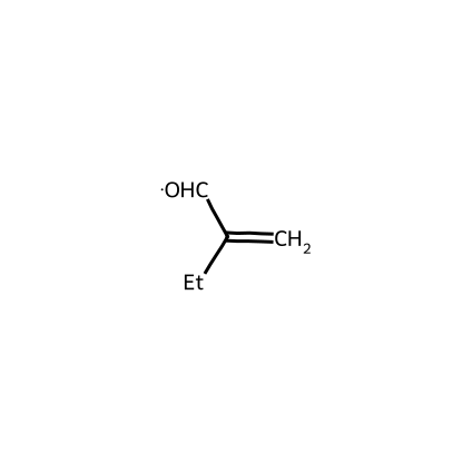 C=C([C]=O)CC